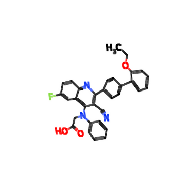 CCOc1ccccc1-c1ccc(-c2nc3ccc(F)cc3c(N(CC(=O)O)c3ccccc3)c2C#N)cc1